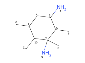 CC1CC(N)C(C)C(C)(N)C1C